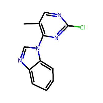 Cc1cnc(Cl)nc1-n1cnc2ccccc21